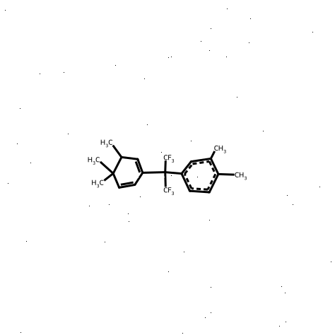 Cc1ccc(C(C2=CC(C)C(C)(C)C=C2)(C(F)(F)F)C(F)(F)F)cc1C